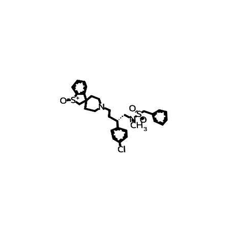 CN(C[C@@H](CCN1CCC2(CC1)C[S+]([O-])c1ccccc12)c1ccc(Cl)cc1)S(=O)(=O)Cc1ccccc1